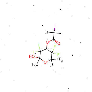 CCC(C)(I)C(=O)OC1C(F)(F)C(C)(C(F)(F)F)OC(O)(C(F)(F)F)C1(F)F